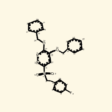 O=S(=O)(Cc1ccc(F)cc1)c1cc(OCc2ccccc2)c(OCc2ccccc2)nn1